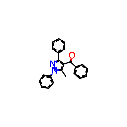 Cc1c(C(=O)c2ccccc2)c(-c2ccccc2)nn1-c1ccccc1